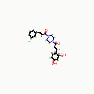 O=C(/C=C/c1cccc(F)c1)N1CCN(C(=O)/C=C/c2ccc(O)cc2O)CC1